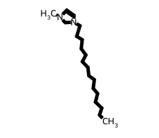 CCCCCCCCCCCCCCCN1C=CN(C)C1